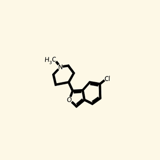 CN1CCC(c2occ3ccc(Cl)cc23)CC1